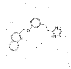 c1cc(CCc2nnn[nH]2)cc(OCc2ccc3ccccc3n2)c1